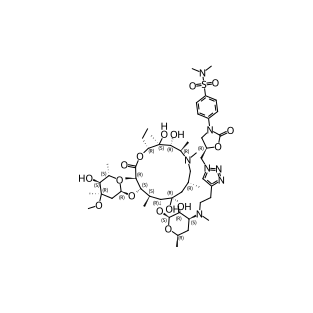 CC[C@H]1OC(=O)[C@H](C)[C@@H](O[C@H]2C[C@@](C)(OC)[C@@H](O)[C@H](C)O2)[C@H](C)[C@@H](O[C@@H]2O[C@H](C)C[C@H](N(C)CCc3cn(C[C@H]4CN(c5ccc(S(=O)(=O)N(C)C)cc5)C(=O)O4)nn3)[C@H]2O)[C@](C)(O)C[C@@H](C)CN(C)[C@H](C)[C@@H](O)[C@]1(C)O